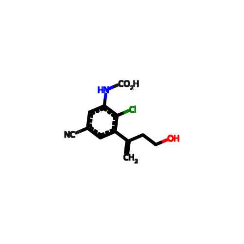 C=C(CCO)c1cc(C#N)cc(NC(=O)O)c1Cl